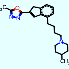 Cc1nnc(C2=Cc3c(CCCCN4CCC(C)CC4)cccc3C2)o1